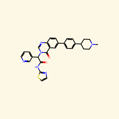 CN1CCC(c2ccc(-c3ccc4ncn(C(C(=O)Nc5nccs5)c5cccnc5)c(=O)c4c3)cc2)CC1